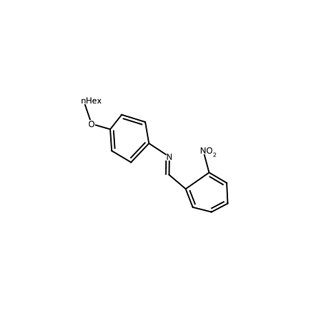 CCCCCCOc1ccc(N=Cc2ccccc2[N+](=O)[O-])cc1